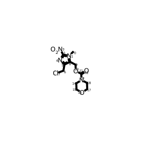 Cn1c([N+](=O)[O-])nc(CCl)c1COC(=O)N1CCOCC1